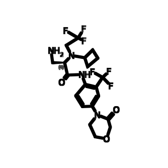 NC[C@H](C(=O)Nc1ccc(N2CCOCC2=O)cc1C(F)(F)F)N(CC(F)(F)F)C1CCC1